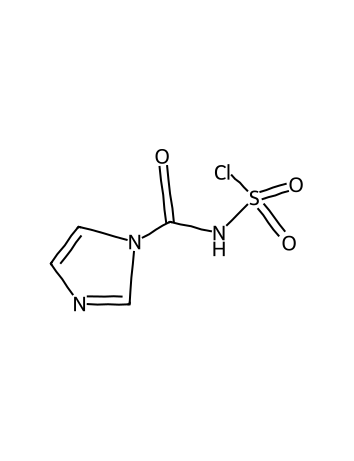 O=C(NS(=O)(=O)Cl)n1ccnc1